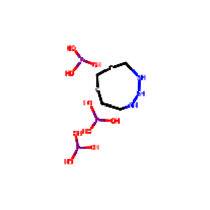 C1CCCNNNCC1.OP(O)O.OP(O)O.OP(O)O